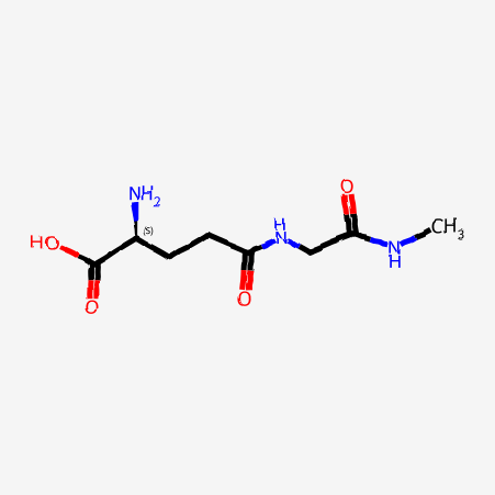 CNC(=O)CNC(=O)CC[C@H](N)C(=O)O